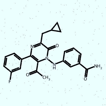 CC(=O)c1c(-c2cccc(F)c2)nc(CC2CC2)c(=O)n1Nc1cccc(C(N)=O)c1